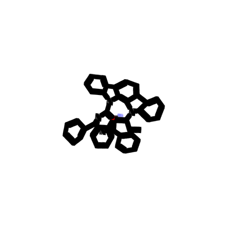 C=C/C(=C\c1ccccc1)n1c2ccccc2c2ccc3c4ccccc4n(-c4nc(-c5ccccc5)nc(-c5ccccc5)n4)c3c21